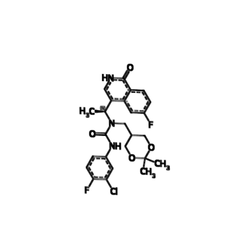 C[C@@H](c1c[nH]c(=O)c2ccc(F)cc12)N(CC1COC(C)(C)OC1)C(=O)Nc1ccc(F)c(Cl)c1